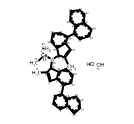 CC1=Cc2c(-c3cccc4ccccc34)cccc2[CH]1[Zr]([CH]1C(C)=Cc2c(-c3cccc4ccccc34)cccc21)[GeH]([CH3])[CH3].Cl.Cl